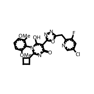 COc1cccc(OC)c1-n1c(C2CCC2)nc(=O)c(-c2nnc(Cc3ncc(Cl)cc3F)o2)c1O